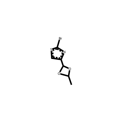 CC1OC(c2csc(Br)n2)O1